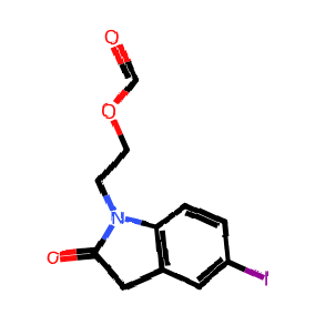 O=COCCN1C(=O)Cc2cc(I)ccc21